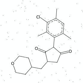 Cc1cc(C)c(C2C(=O)CC(CC3CCOCC3)C2=O)c(C)c1Cl